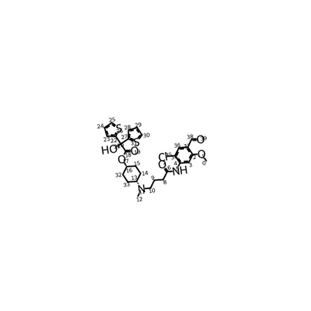 COc1cc(NC(=O)CCCN(C)[C@H]2CC[C@H](OC(=O)C(O)(c3cccs3)c3cccs3)CC2)c(Cl)cc1C=O